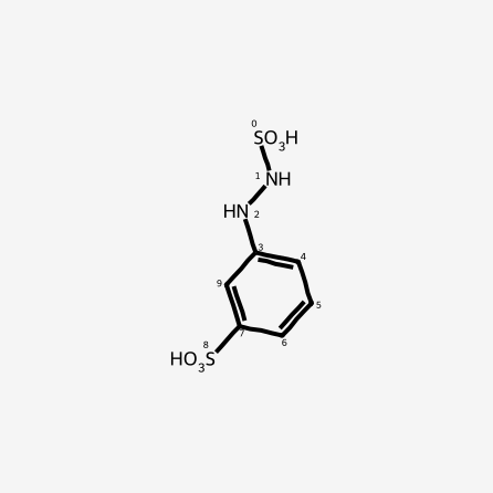 O=S(=O)(O)NNc1cccc(S(=O)(=O)O)c1